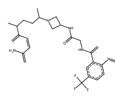 C=Nc1ccc(C(F)(F)F)cc1C(=C)NCC(=O)NC1CN(C(C)CCC(C)C(=C)/C=C\C(=C)N)C1